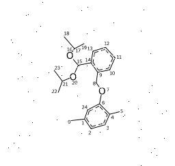 Cc1ccc(C)c(OCc2ccccc2C(OC(C)C)OC(C)C)c1